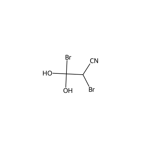 N#CC(Br)C(O)(O)Br